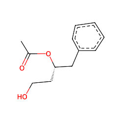 CC(=O)O[C@@H](CCO)Cc1ccccc1